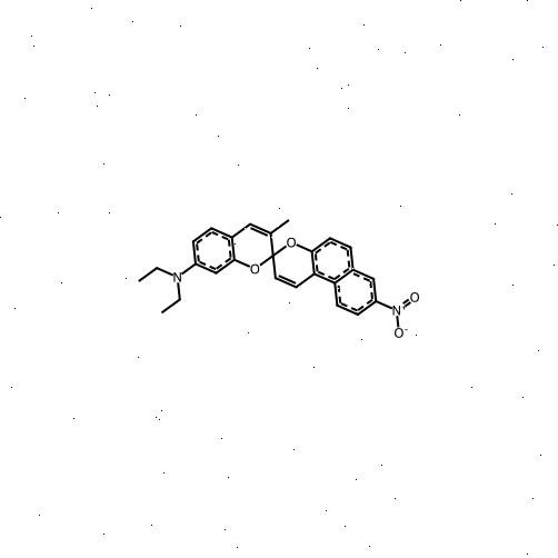 CCN(CC)c1ccc2c(c1)OC1(C=Cc3c(ccc4cc([N+](=O)[O-])ccc34)O1)C(C)=C2